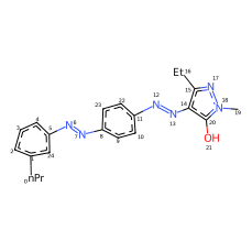 CCCc1cccc(N=Nc2ccc(N=Nc3c(CC)nn(C)c3O)cc2)c1